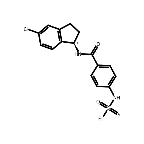 CCS(=O)(=S)Nc1ccc(C(=O)N[C@@H]2CCc3cc(Cl)ccc32)cc1